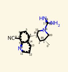 C[C@@H]1C[C@H](c2ccc(C#N)c3ncccc23)CN(C(=N)N)C1